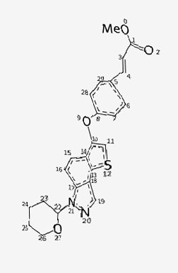 COC(=O)/C=C/c1ccc(Oc2csc3c2ccc2c3cnn2C2CCCCO2)cc1